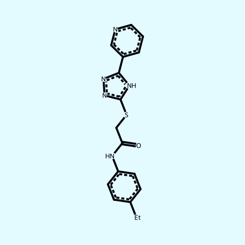 CCc1ccc(NC(=O)CSc2nnc(-c3cccnc3)[nH]2)cc1